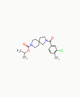 O=C(OC(C(F)(F)F)C(F)(F)F)N1CCC2(CC1)CCN(C(=O)c1ccc(C(F)(F)F)c(Cl)c1)C2